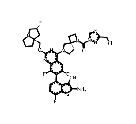 N#Cc1c(N)sc2c(F)ccc(-c3c(Cl)cc4c(N5CC[C@@]6(CCN6C(=O)n6cnc(CCl)n6)C5)nc(OC[C@@]56CCCN5C[C@H](F)C6)nc4c3F)c12